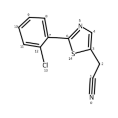 N#CCc1cnc(-c2ccccc2Cl)s1